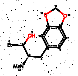 CC[C@@H](O)[C@H](Cc1ccc2c(c1)OCO2)NC